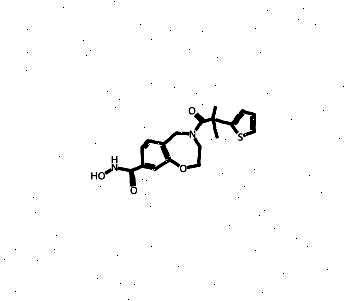 CC(C)(C(=O)N1CCOc2cc(C(=O)NO)ccc2C1)c1cccs1